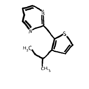 CC(C)c1ccsc1-c1ncccn1